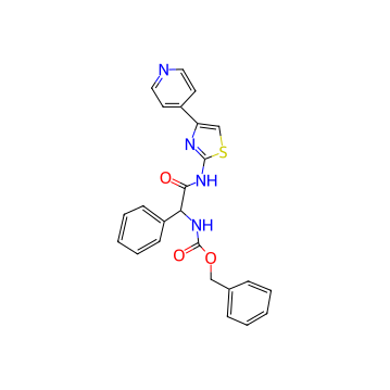 O=C(NC(C(=O)Nc1nc(-c2ccncc2)cs1)c1ccccc1)OCc1ccccc1